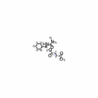 COC(=O)/C=C/C(=O)OC[C@@H](NC(=O)N(C)C)c1ccccc1